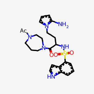 CC(=O)N1CCCN(C(=O)C(CCn2cccc2N)NS(=O)(=O)c2cccc3[nH]ccc23)CC1